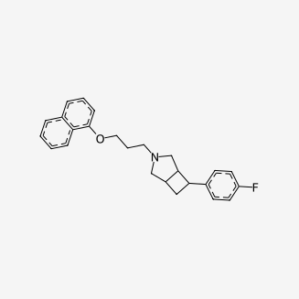 Fc1ccc(C2CC3CN(CCCOc4cccc5ccccc45)CC32)cc1